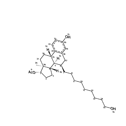 CC(=O)O[C@H]1CC[C@H]2[C@@H]3[C@H](CCCCCCCCCO)Cc4cc(O)ccc4[C@H]3CC[C@]12C